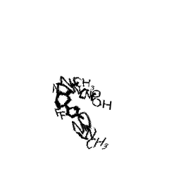 Cc1ccnc(Oc2ccc(-c3cc4c(cc3F)ncc3nc(C)n(C5CCN(C(=O)CO)CC5)c34)c(F)c2)n1